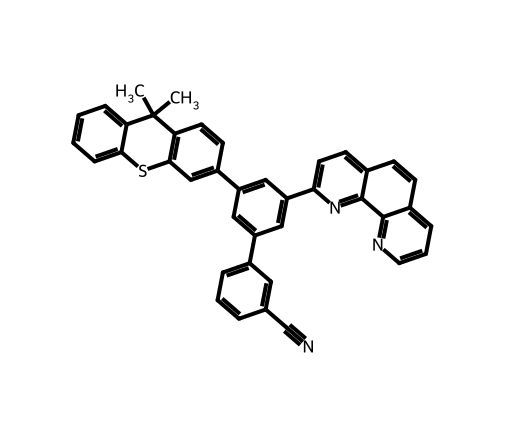 CC1(C)c2ccccc2Sc2cc(-c3cc(-c4cccc(C#N)c4)cc(-c4ccc5ccc6cccnc6c5n4)c3)ccc21